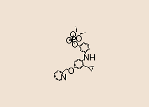 CCOP(=O)(OCC)Oc1cccc(Nc2ccc(OCc3ccccn3)cc2C2CC2)c1